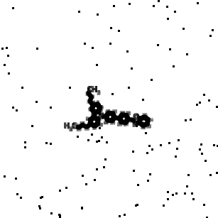 CCCCc1ccc2c(c1)c1cc(CCCC)ccc1n2-c1ccc(-c2ccc(-c3nc4ccccc4o3)cc2)cc1